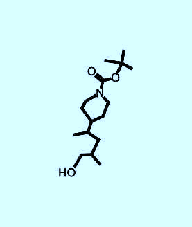 CC(CO)CC(C)C1CCN(C(=O)OC(C)(C)C)CC1